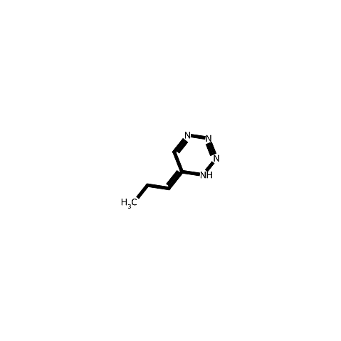 CCC=C1C=NN=NN1